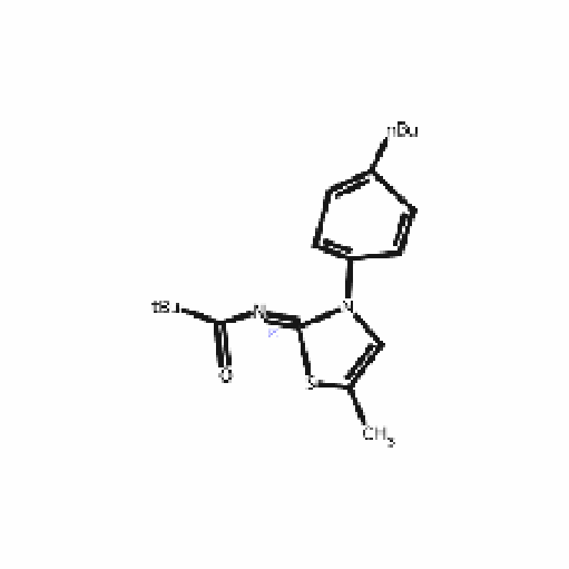 CCCCc1ccc(-n2cc(C)s/c2=N\C(=O)C(C)(C)C)cc1